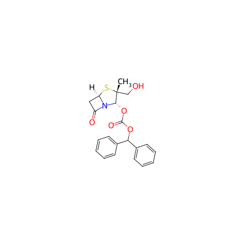 C[C@]1(CO)S[C@@H]2CC(=O)N2[C@H]1OC(=O)OC(c1ccccc1)c1ccccc1